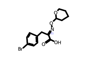 O=C(O)/C(Cc1ccc(Br)cc1)=N/OC1CCCCO1